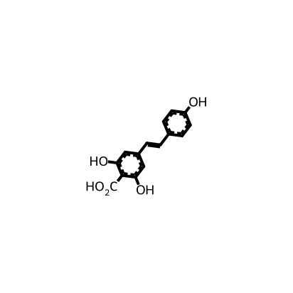 O=C(O)c1c(O)cc(/C=C/c2ccc(O)cc2)cc1O